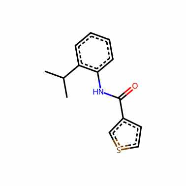 CC(C)c1ccccc1NC(=O)c1ccsc1